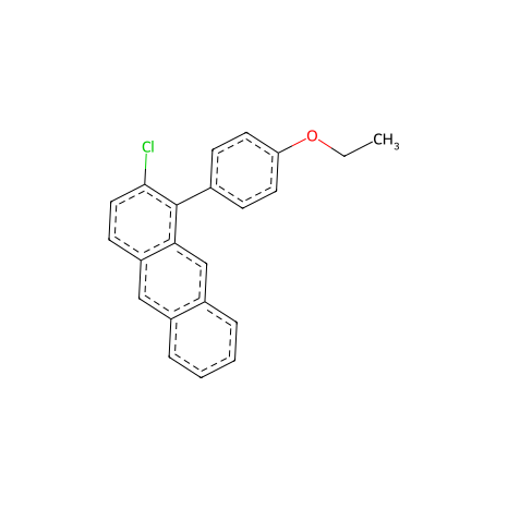 CCOc1ccc(-c2c(Cl)ccc3cc4ccccc4cc23)cc1